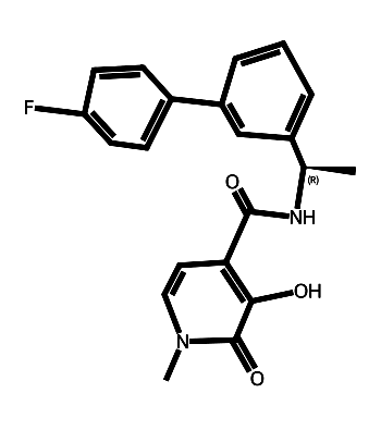 C[C@@H](NC(=O)c1ccn(C)c(=O)c1O)c1cccc(-c2ccc(F)cc2)c1